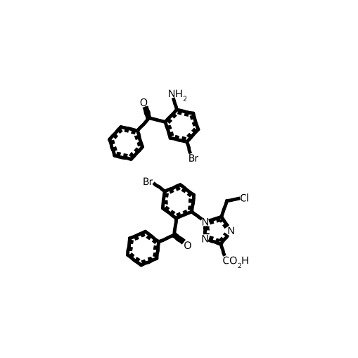 Nc1ccc(Br)cc1C(=O)c1ccccc1.O=C(O)c1nc(CCl)n(-c2ccc(Br)cc2C(=O)c2ccccc2)n1